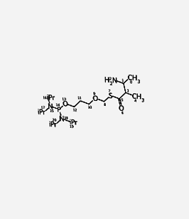 CC(N)C(C)C(=O)SCOCCCOP(N(C(C)C)C(C)C)N(C(C)C)C(C)C